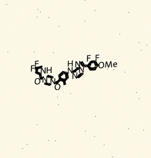 COc1ccc(-c2cnc3c(Nc4ccc(C(=O)N5CCN(C(=O)C6CC(F)(F)CN6)CC5)c(C)c4)nccn23)c(F)c1F